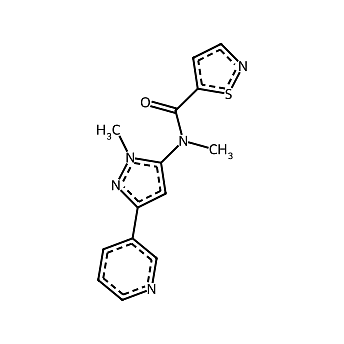 CN(C(=O)c1ccns1)c1cc(-c2cccnc2)nn1C